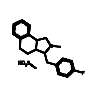 CN1CC2c3ccccc3CCC2C1Cc1ccc(F)cc1.CS(=O)(=O)O